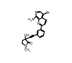 CN1CCC(O)(C#Cc2cccc(-c3ccc4c(Br)cnc(N)c4n3)c2)C1=O